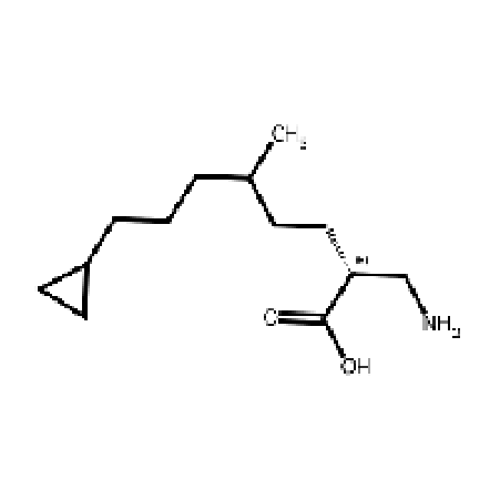 CC(CCCC1CC1)CC[C@H](CN)C(=O)O